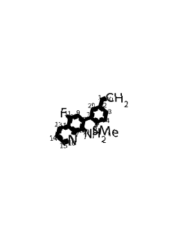 C=Cc1ccc(SC)c(-c2cc(F)c3cccnc3c2N)c1